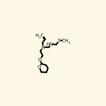 C=CCN(CCOC1CCCCO1)CNCSC